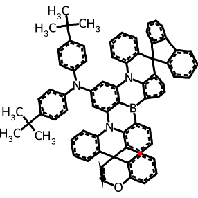 CC(C)(C)c1ccc(N(c2ccc(C(C)(C)C)cc2)c2cc3c4c(c2)N2c5ccccc5C5(c6ccccc6-c6ccccc65)c5cccc(c52)B4c2cccc4c2N3c2ccccc2C42c3ccccc3Oc3ccccc32)cc1